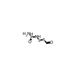 N[PH](=O)NSSC=O